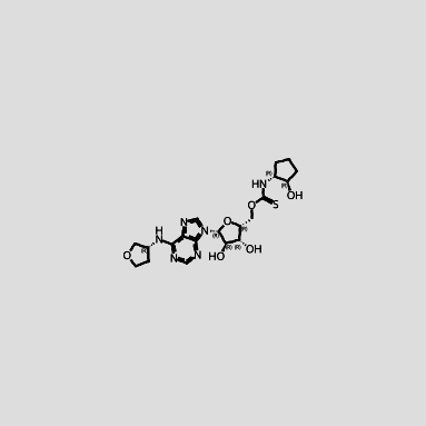 O[C@@H]1[C@@H](O)[C@@H](COC(=S)N[C@@H]2CCC[C@H]2O)O[C@H]1n1cnc2c(N[C@@H]3CCOC3)ncnc21